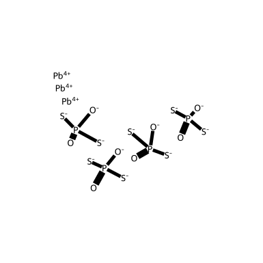 O=P([O-])([S-])[S-].O=P([O-])([S-])[S-].O=P([O-])([S-])[S-].O=P([O-])([S-])[S-].[Pb+4].[Pb+4].[Pb+4]